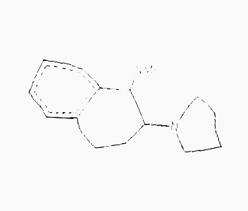 CNC1c2ccccc2CCC1N1CCCC1